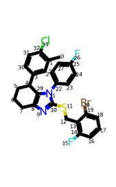 Cc1cc(C2CCCc3nc(SCc4c(F)cccc4Br)n(-c4ccc(F)cc4)c32)ccc1Cl